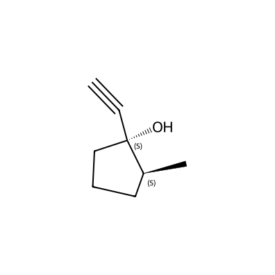 C#C[C@]1(O)CCC[C@@H]1C